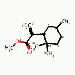 C=C(C(=O)OC)C1CC(C)CCC1(C)C